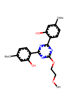 CCCOCCOc1nc(-c2ccc(OC)cc2O)nc(-c2ccc(OC)cc2O)n1